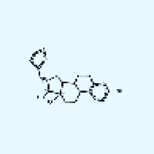 C[C@]12CCC3c4ccc(O)cc4CCC3C1C/C(=C\c1cccs1)[C@@H]2O